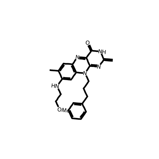 C=c1nc2c(c(=O)[nH]1)=Nc1cc(C)c(NCCOC)cc1N2CCCc1ccccc1